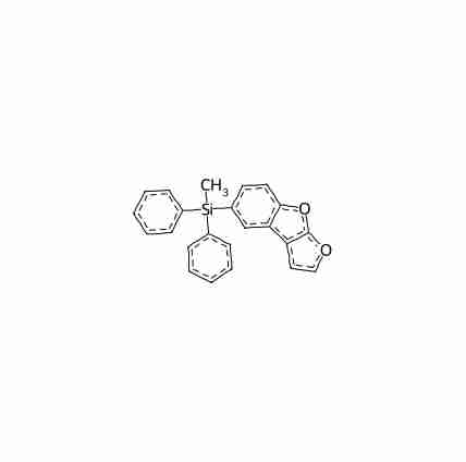 C[Si](c1ccccc1)(c1ccccc1)c1ccc2oc3occc3c2c1